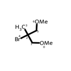 COCC(C)(Br)COC